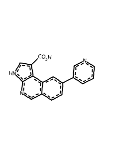 O=C(O)c1c[nH]c2ncc3ccc(-c4cccnc4)cc3c12